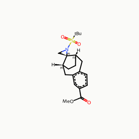 COC(=O)c1ccc2c(c1)C[C@H]1CC[C@@H](C2)[C@]12CN2S(=O)(=O)C(C)(C)C